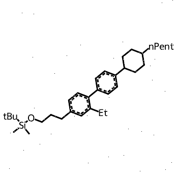 CCCCCC1CCC(c2ccc(-c3ccc(CCCO[Si](C)(C)C(C)(C)C)cc3CC)cc2)CC1